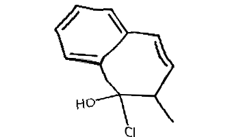 CC1C=Cc2ccccc2C1(O)Cl